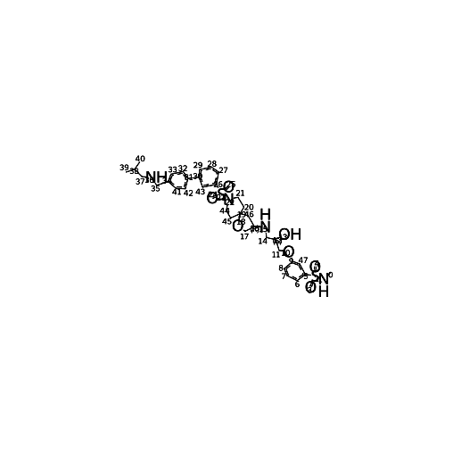 CNS(=O)(=O)c1cccc(OC[C@@H](O)CN[C@H]2COC3(CCN(S(=O)(=O)c4cccc(-c5ccc(CNCC(C)C)cc5)c4)CC3)C2)c1